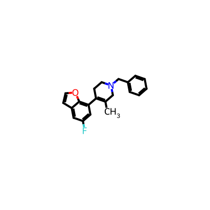 CC1=C(c2cc(F)cc3ccoc23)CCN(Cc2ccccc2)C1